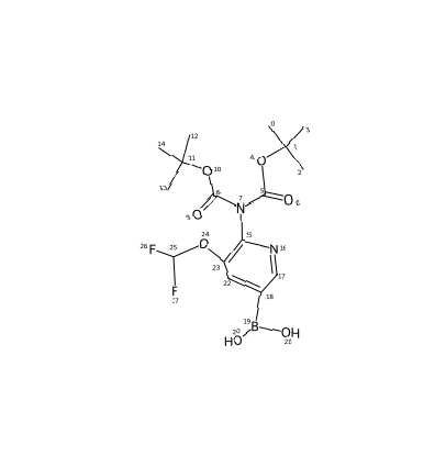 CC(C)(C)OC(=O)N(C(=O)OC(C)(C)C)c1ncc(B(O)O)cc1OC(F)F